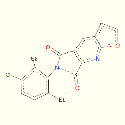 CCc1ccc(Cl)c(CC)c1N1C(=O)c2cc3ccoc3nc2C1=O